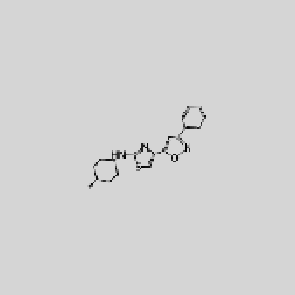 C[C@H]1CC[C@H](Nc2nc(-c3cc(-c4ccccc4)no3)cs2)CC1